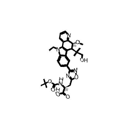 CCn1c2c(c3cc(-c4noc(C[C@H](NC(=O)OC(C)(C)C)C(=O)O)n4)ccc31)C(C(C)(C)CO)[C@H](OC)c1ncccc1-2